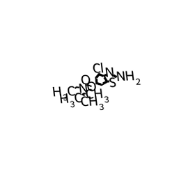 CCN(C(=O)Oc1cc(Cl)c2nc(N)sc2c1)C(C)(C)C